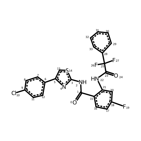 O=C(Nc1nc(-c2ccc(Cl)cc2)cs1)c1ccc(F)cc1NC(=O)C(F)(F)c1ccccc1